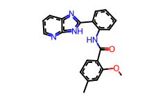 COc1cc(C)ccc1C(=O)Nc1ccccc1-c1nc2cccnc2[nH]1